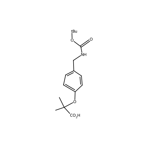 CC(C)(C)OC(=O)NCc1ccc(OC(C)(C)C(=O)O)cc1